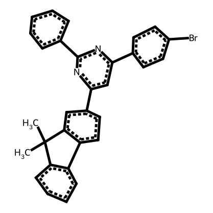 CC1(C)c2ccccc2-c2ccc(-c3cc(-c4ccc(Br)cc4)nc(-c4ccccc4)n3)cc21